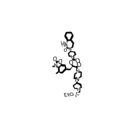 CCOC(=O)CN1CCC(N2CCN(C(=O)[C@@H](Cc3cc(C)c4c(c3)oc(=O)n4C)OC(=O)N3CCC(N4CCc5ccccc5NC4=O)CC3)CC2)CC1